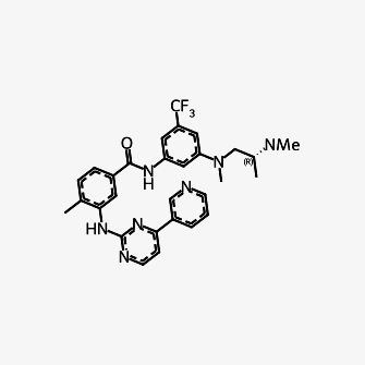 CN[C@H](C)CN(C)c1cc(NC(=O)c2ccc(C)c(Nc3nccc(-c4cccnc4)n3)c2)cc(C(F)(F)F)c1